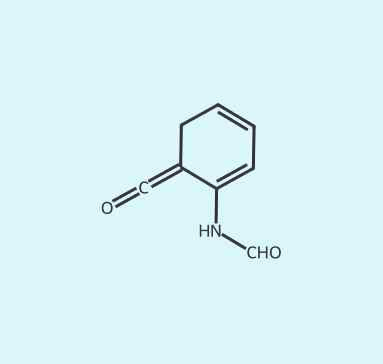 O=C=C1CC=CC=C1NC=O